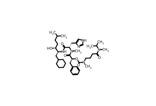 CC(C)CC[C@H](O)[C@H](CC1CCCCC1)NC(=O)[C@H](Cc1c[nH]cn1)N(C)C(=O)[C@H](Cc1ccccc1)OC(=O)N(C)CCCC(=O)N(C)C(C)C